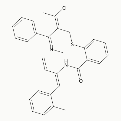 C=C/C(=C\c1ccccc1C)NC(=O)c1ccccc1SCC(/C(=N\C)c1ccccc1)=C(/C)Cl